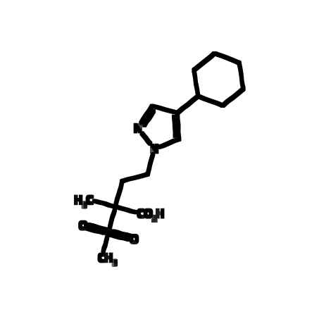 CC(CCn1cc(C2CCCCC2)cn1)(C(=O)O)S(C)(=O)=O